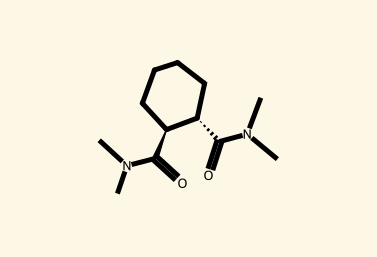 CN(C)C(=O)[C@H]1CCCC[C@@H]1C(=O)N(C)C